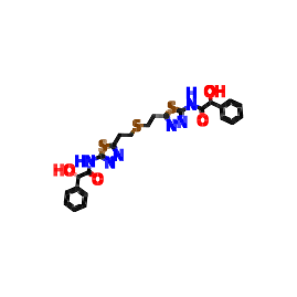 O=C(Nc1nnc(CCSCCc2nnc(NC(=O)[C@@H](O)c3ccccc3)s2)s1)[C@@H](O)c1ccccc1